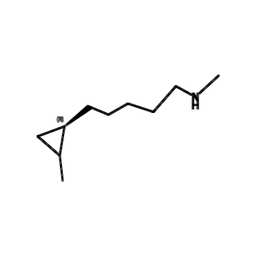 CNCCCCC[C@@H]1CC1C